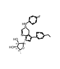 CCc1ccc(-c2cn([C@@H]3O[C@H](C)[C@@H](O)[C@H]3O)c3c2CN(Nc2ccc(F)cc2)C=N3)cc1